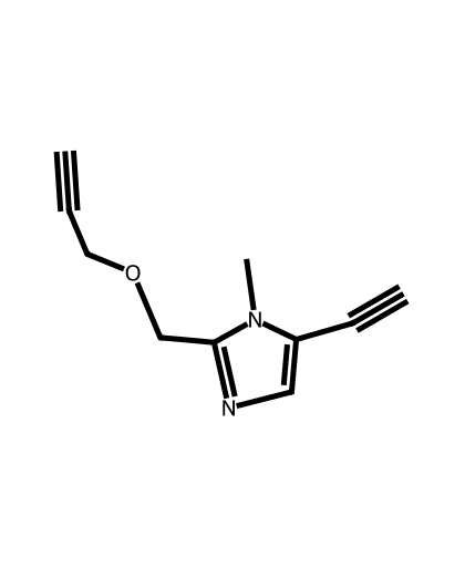 C#CCOCc1ncc(C#C)n1C